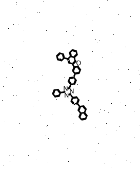 c1ccc(-c2nc(-c3ccc(-c4ccc5ccccc5c4)cc3)nc(-c3ccc(-c4ccc5oc6c7ccccc7c(-c7ccccc7)cc6c5c4)cc3)n2)cc1